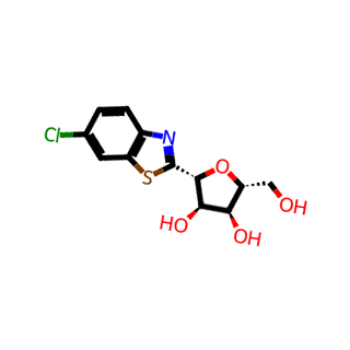 OC[C@H]1O[C@@H](c2nc3ccc(Cl)cc3s2)[C@H](O)[C@@H]1O